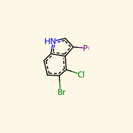 [P]c1c[nH]c2ccc(Br)c(Cl)c12